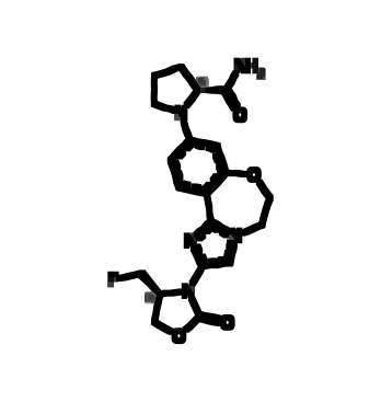 NC(=O)[C@@H]1CCCN1c1ccc2c(c1)OCCn1cc(N3C(=O)OC[C@H]3CF)nc1-2